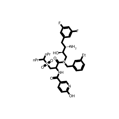 CCCC(CCC)S(=O)(=O)CC(NC(=O)c1ccc(O)nc1)C(=O)N(Cc1cccc(CC)c1)C[C@@H](O)[C@@H](N)Cc1cc(F)cc(F)c1